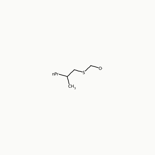 CCCC(C)CSC[O]